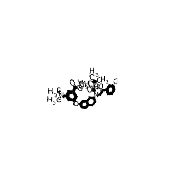 COC(=O)c1cc(Oc2ccc3c(c2)C[C@@H](N(C[C@@H](O)c2cccc(Cl)c2)C(=O)OC(C)(C)C)CC3)cc(N(C)C)c1